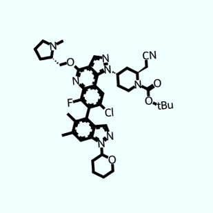 Cc1cc2c(cnn2C2CCCCO2)c(-c2c(Cl)cc3c(nc(OC[C@@H]4CCCN4C)c4cnn([C@H]5CCN(C(=O)OC(C)(C)C)[C@H](CC#N)C5)c43)c2F)c1C